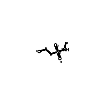 CNS(=O)(=O)CC[O]